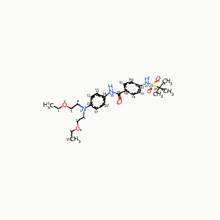 CCOCCN(CCOCC)c1ccc(NC(=O)c2ccc(NS(=O)(=O)C(C)(C)C)cc2)cc1